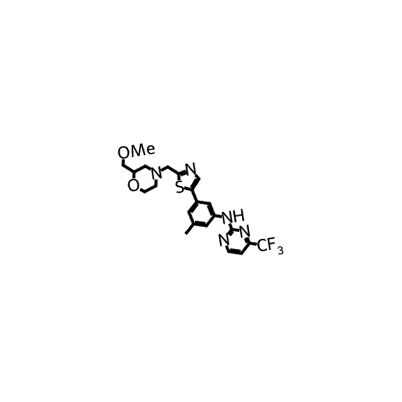 COCC1CN(Cc2ncc(-c3cc(C)cc(Nc4nccc(C(F)(F)F)n4)c3)s2)CCO1